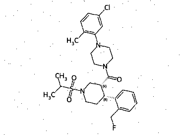 Cc1ccc(Cl)cc1N1CCN(C(=O)[C@H]2CN(S(=O)(=O)C(C)C)CC[C@H]2c2ccccc2CF)CC1